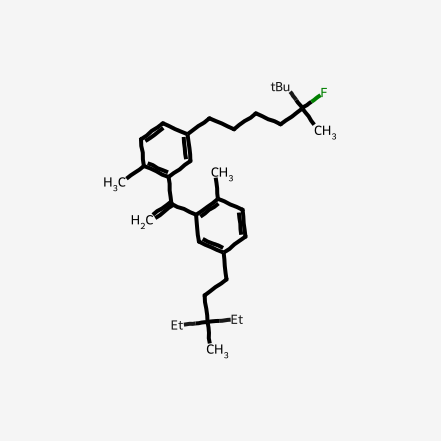 C=C(c1cc(CCCCC(C)(F)C(C)(C)C)ccc1C)c1cc(CCC(C)(CC)CC)ccc1C